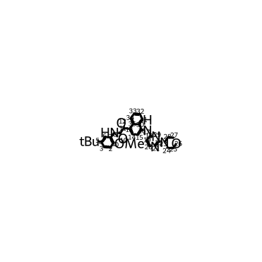 COc1ccc(C(C)(C)C)cc1NC(=O)C(=O)c1ccc(Nc2ccnc(N3CCOCC3)n2)c2ccccc12